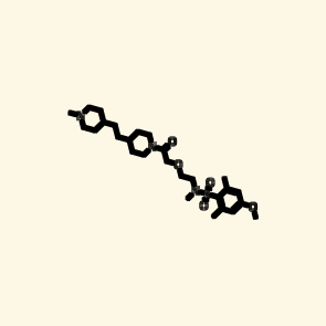 COc1cc(C)c(S(=O)(=O)N(C)CCOCC(=O)N2CCC(CCC3CCN(C)CC3)CC2)c(C)c1